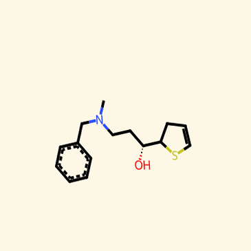 CN(CC[C@@H](O)C1CC=CS1)Cc1ccccc1